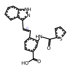 O=C(O)c1ccc(/C=C/c2n[nH]c3ccccc23)c(NC(=O)c2cccs2)c1